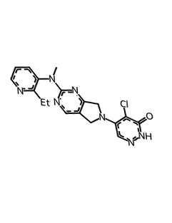 CCc1ncccc1N(C)c1ncc2c(n1)CN(c1cn[nH]c(=O)c1Cl)C2